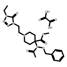 CCn1nnn(CCN2CCC(C(=O)OC)(N(OCc3ccccc3)C(C)=O)CC2)c1=O.O=C(O)C(=O)O